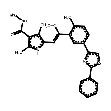 CCCNC(=O)c1c(C)[nH]c(/C=C(\C=O)c2cc(-c3csc(-c4ccccc4)n3)ccc2C)c1C